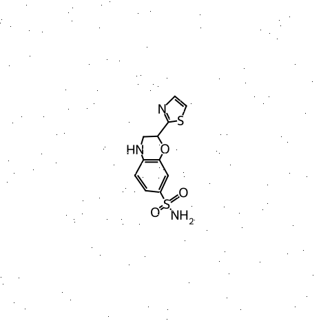 NS(=O)(=O)c1ccc2c(c1)OC(c1nccs1)CN2